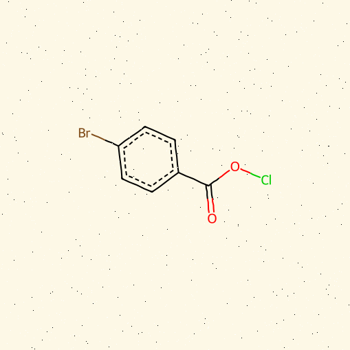 O=C(OCl)c1ccc(Br)cc1